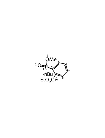 CCCCP(=O)(OC)c1ccccc1C(=O)OCC